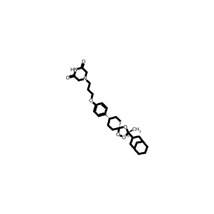 C[C@@]1(C2CC3CCCC(C3)C2)OO[C@]2(CC[C@@H](c3ccc(OCCCN4CC(=O)NC(=O)C4)cc3)CC2)O1